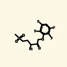 CCC(CCS(C)(=O)=O)C(=O)COc1c(F)c(F)cc(F)c1F